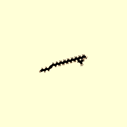 [CH2]CCCCC#CCCCCCCCCCCCCCC(CCC[CH2])CC(C)C